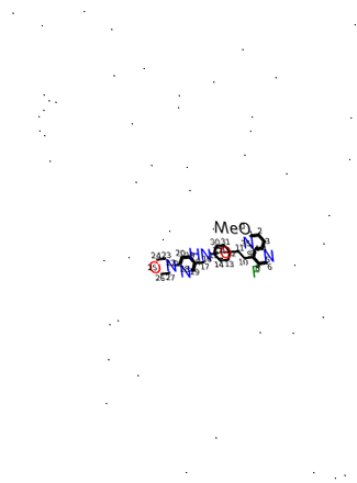 COc1ccc2ncc(F)c(CCC34CCC(NCc5ccc(N6CCOCC6)nc5)(CC3)CO4)c2n1